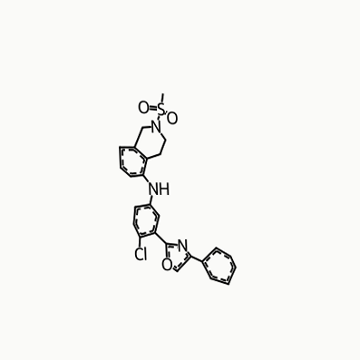 CS(=O)(=O)N1CCc2c(cccc2Nc2ccc(Cl)c(-c3nc(-c4ccccc4)co3)c2)C1